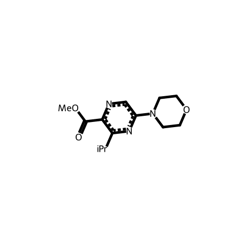 COC(=O)c1ncc(N2CCOCC2)nc1C(C)C